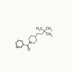 CC(C)(C)CCC1CCN(C(=O)c2cccnc2)CC1